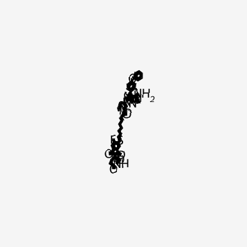 Nc1ncnc2c1c(-c1ccc(Oc3ccccc3)cc1)nn2[C@@H]1CCCN(C(=O)CCCCCCCSc2cc3c(cc2F)C(=O)N(C2CCC(=O)NC2=O)C3=O)C1